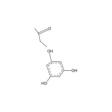 CCC(C)=O.Oc1cc(O)cc(O)c1